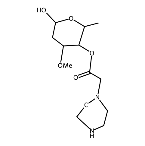 COC1CC(O)OC(C)C1OC(=O)CN1CCNCC1